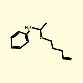 C=CCCCOC(C)[SiH2]c1ccccc1